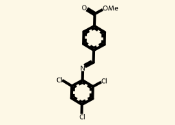 COC(=O)c1ccc(C=Nc2c(Cl)cc(Cl)cc2Cl)cc1